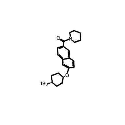 CC(C)(C)[C@H]1CC[C@H](Oc2ccc3cc(C(=O)N4CCCCC4)ccc3c2)CC1